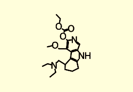 CCOC(=O)Oc1ncc2[nH]c3c(c2c1COC)C(CN(CC)CC)CCC3